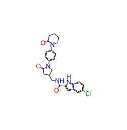 O=C(NCC1CC(=O)N(c2ccc(N3CCCCC3=O)cc2)C1)c1cc2cc(Cl)ccc2[nH]1